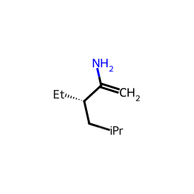 C=C(N)[C@@H](CC)CC(C)C